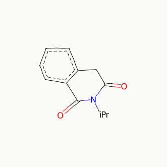 CC(C)N1C(=O)Cc2ccccc2C1=O